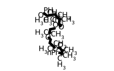 CCCC(C)(C)C(C)C(=O)OC(C)(C)CCOC(C)(C)CCOC(=O)C(C)C(C)(C)CC(C)(C)C(C)C(=O)P